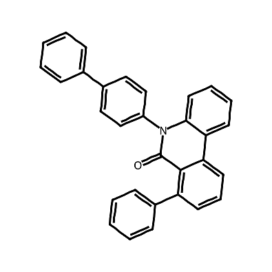 O=c1c2c(-c3ccccc3)cccc2c2ccccc2n1-c1ccc(-c2ccccc2)cc1